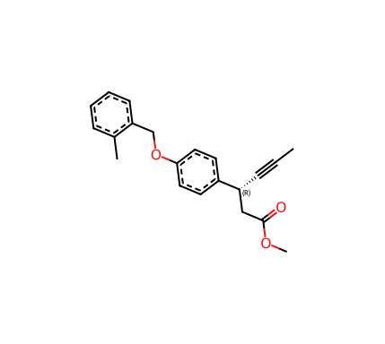 CC#C[C@H](CC(=O)OC)c1ccc(OCc2ccccc2C)cc1